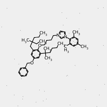 CCCCC(C)(C)c1cc(OCc2ccccc2)cc(CC(C)(CC)CCC)c1OCCCC[n+]1ccn(-c2c(C)cc(C)cc2C)c1